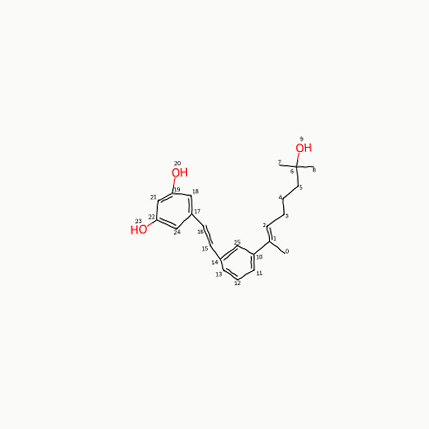 CC(=CCCCC(C)(C)O)c1cccc(C=Cc2cc(O)cc(O)c2)c1